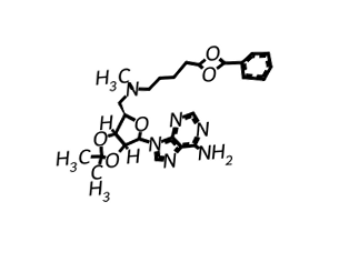 CN(CCCCC1OC(c2ccccc2)O1)C[C@H]1OC(n2cnc3c(N)ncnc32)[C@@H]2OC(C)(C)O[C@H]12